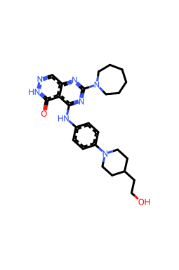 O=c1[nH]ncc2nc(N3CCCCCC3)nc(Nc3ccc(N4CCC(CCO)CC4)cc3)c12